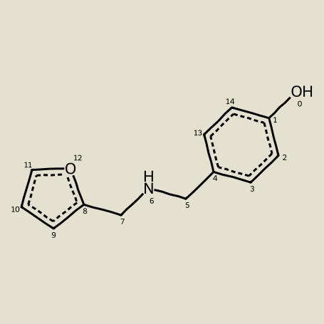 Oc1ccc(CNCc2ccco2)cc1